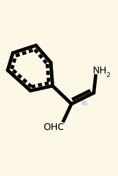 N/C=C(/C=O)c1ccccc1